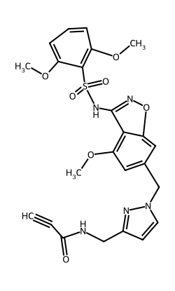 C#CC(=O)NCc1ccn(Cc2cc(OC)c3c(NS(=O)(=O)c4c(OC)cccc4OC)noc3c2)n1